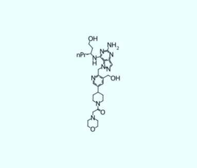 CCC[C@@H](CCO)Nc1nc(N)nc2cnn(Cc3ncc(C4CCN(C(=O)CN5CCOCC5)CC4)cc3CO)c12